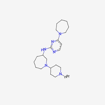 CCCN1CCC(N2CCCCC(Nc3nccc(N4CCCCCC4)n3)C2)CC1